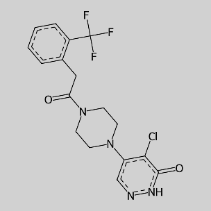 O=C(Cc1ccccc1C(F)(F)F)N1CCN(c2cn[nH]c(=O)c2Cl)CC1